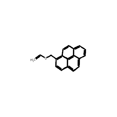 C=COCc1ccc2ccc3cccc4ccc1c2c34